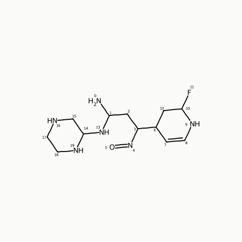 NC(CC(N=O)C1C=CNC(F)C1)NC1CNCCN1